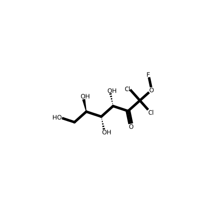 O=C([C@@H](O)[C@H](O)[C@H](O)CO)C(Cl)(Cl)OF